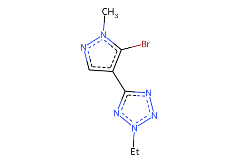 CCn1nnc(-c2cnn(C)c2Br)n1